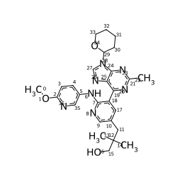 COc1ccc(Nc2ncc(CC(C)(C)CO)cc2-c2nc(C)nc3c2ncn3C2CCCCO2)cn1